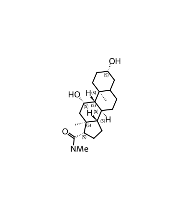 CNC(=O)[C@H]1CC[C@H]2[C@@H]3CCC4C[C@@H](O)CC[C@]4(C)[C@H]3[C@@H](O)C[C@]12C